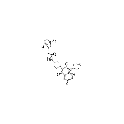 O=C(CC1C[C@@H]2CC[C@H]1C2)NC1CCC(n2c(=O)c3cc(F)cnc3n(C3CCSCC3)c2=O)CC1